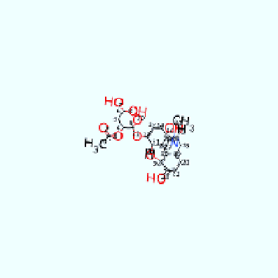 CC(=O)O[C@@H](CC(O)O)C(=O)OC1=CC[C@@]2(O)[C@H]3Cc4ccc(O)c5c4[C@@]2(CCN3C)[C@H]1O5